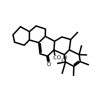 CC1=C(C)C(C)(C)C2C(C(C)CC3C4CCC5CCCCC5C4=CC(=O)C32C(=O)O)C1(C)C